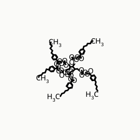 CCCCCCc1ccc(C(=O)OOC(=O)OCCC(COC(=O)OOC(=O)c2ccc(CCCCCC)cc2)C(COC(=O)OOC(=O)c2ccc(CCCCCC)cc2)C(CCOC(=O)OOC(=O)c2ccc(CCCCCC)cc2)COC(=O)OOC(=O)c2ccc(CCCCCC)cc2)cc1